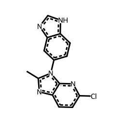 Cc1nc2ccc(Cl)nc2n1-c1ccc2[nH]cnc2c1